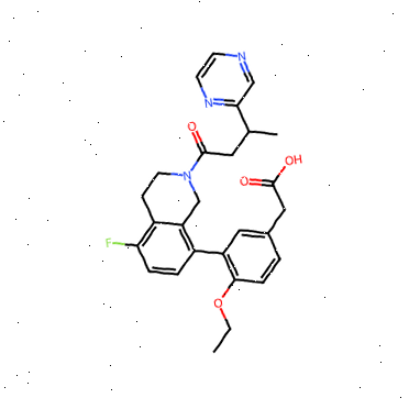 CCOc1ccc(CC(=O)O)cc1-c1ccc(F)c2c1CN(C(=O)CC(C)c1cnccn1)CC2